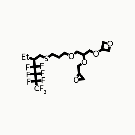 CCC(CSCCCOCC(COC1COC1)OCC1CO1)C(F)(F)C(F)(F)C(F)(F)C(F)(F)F